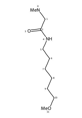 CNCC(=O)NCCCCCCOC